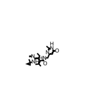 C=N/C(NC1(C)CC1)=C(\CC)C(C(=O)NCc1cc(=O)[nH]c(C)n1)=C(C)C